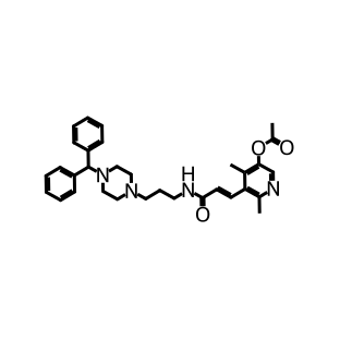 CC(=O)Oc1cnc(C)c(C=CC(=O)NCCCN2CCN(C(c3ccccc3)c3ccccc3)CC2)c1C